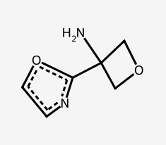 NC1(c2ncco2)COC1